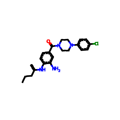 C=C(CCC)Nc1ccc(C(=O)N2CCN(c3ccc(Cl)cc3)CC2)cc1N